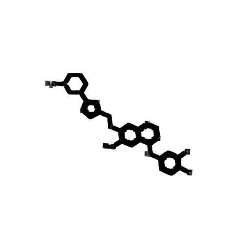 COc1cc2c(Nc3ccc(Cl)c(Cl)c3)ncnc2cc1OCc1csc(C2CCCN(C)C2)n1